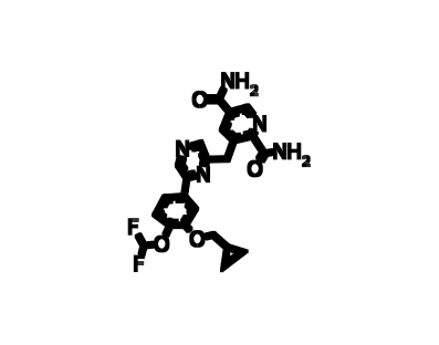 NC(=O)c1cnc(C(N)=O)c(Cc2cncc(-c3ccc(OC(F)F)c(OCC4CC4)c3)n2)c1